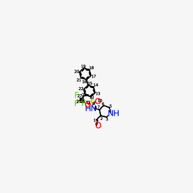 O=CC1CNCCC1NS(=O)(=O)c1ccc(-c2ccccc2)cc1C(F)(F)F